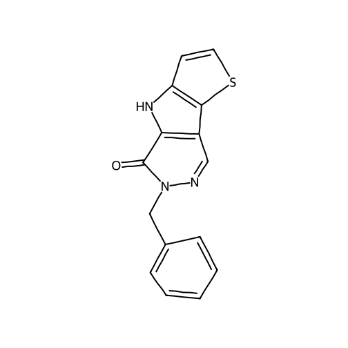 O=c1c2[nH]c3ccsc3c2cnn1Cc1ccccc1